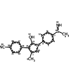 Cc1nn(-c2ccc(S(C)=N)cn2)c(O)c1-c1ccc(C#N)cc1